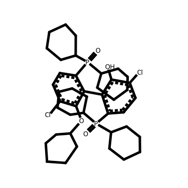 O=P(c1ccc(Cl)c(O)c1-c1c(P(=O)(C2CCCCC2)C2CCCCC2)ccc(Cl)c1OC1CCCCC1)(C1CCCCC1)C1CCCCC1